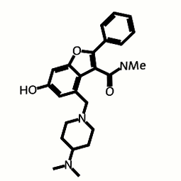 CNC(=O)c1c(-c2ccccc2)oc2cc(O)cc(CN3CCC(N(C)C)CC3)c12